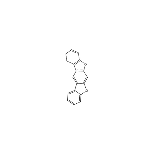 C1=Cc2oc3cc4oc5ccccc5c4cc3c2CC1